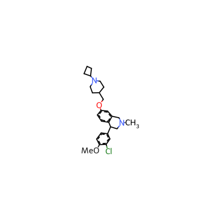 COc1ccc(C2CN(C)Cc3cc(OCC4CCN(C5CCC5)CC4)ccc32)cc1Cl